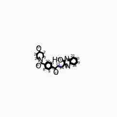 O=C1CCN(C(=O)c2ccc(C(=O)/C=C/c3nc4ccccc4nc3O)cc2)CC1